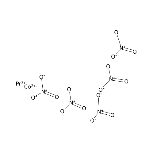 O=[N+]([O-])[O-].O=[N+]([O-])[O-].O=[N+]([O-])[O-].O=[N+]([O-])[O-].O=[N+]([O-])[O-].[Co+2].[Pr+3]